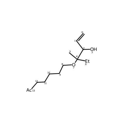 C=CC(O)C(C)(CC)OCCCCCC(C)=O